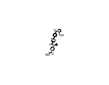 CC(C)(C)OC(=O)N1CCC(N(C(=O)c2cnc(-c3ccc(C(=O)N4CCC[C@H]4CO)cc3)nc2)C2CC2)CC1